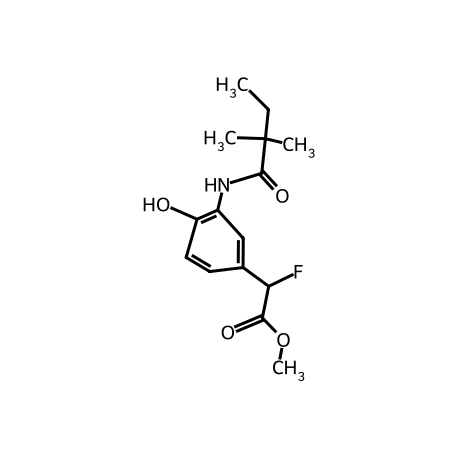 CCC(C)(C)C(=O)Nc1cc(C(F)C(=O)OC)ccc1O